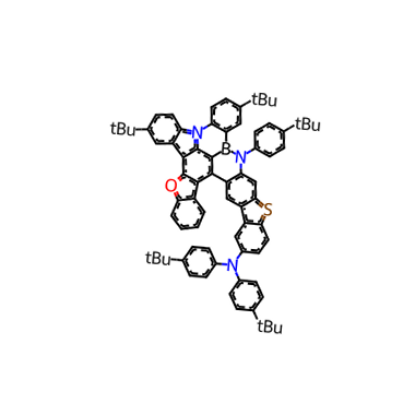 CC(C)(C)c1ccc(N2B3c4cc(C(C)(C)C)ccc4-n4c5ccc(C(C)(C)C)cc5c5c6oc7ccccc7c6c(c3c54)-c3cc4c(cc32)sc2ccc(N(c3ccc(C(C)(C)C)cc3)c3ccc(C(C)(C)C)cc3)cc24)cc1